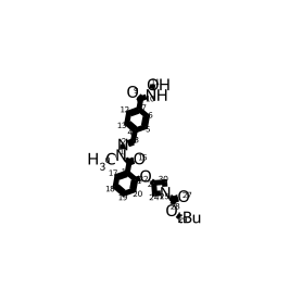 CN(/N=C/c1ccc(C(=O)NO)cc1)C(=O)c1ccccc1OC1CN(C(=O)OC(C)(C)C)C1